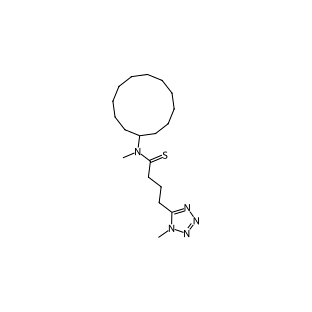 CN(C(=S)CCCc1nnnn1C)C1CCCCCCCCCCC1